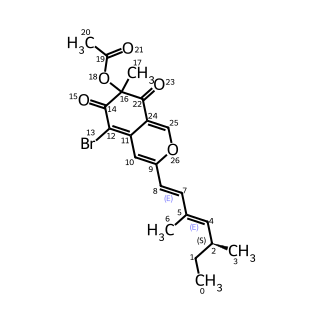 CC[C@H](C)/C=C(C)/C=C/C1=CC2=C(Br)C(=O)C(C)(OC(C)=O)C(=O)C2=CO1